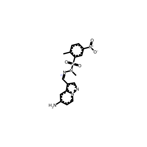 Cc1ccc([N+](=O)[O-])cc1S(=O)(=O)N(C)/N=C\c1cnn2ccc(N)cc12